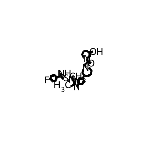 CCc1nc2ccc(C3CCCCN(CC(=O)N4CCCCC(O)C4)CC3)cn2c1N(C)CS/C=C(\N)c1ccc(F)cc1